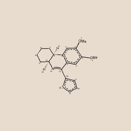 COc1cc2c(cc1OC)[C@@H]1CCCC[C@@H]1N=C2c1cccs1